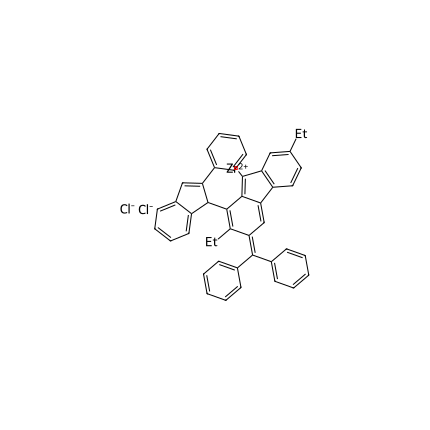 CCc1ccc2c(c1)[C]([Zr+2])=c1c-2cc(=C(c2ccccc2)c2ccccc2)c(CC)c1C1C(c2ccccc2)=Cc2ccccc21.[Cl-].[Cl-]